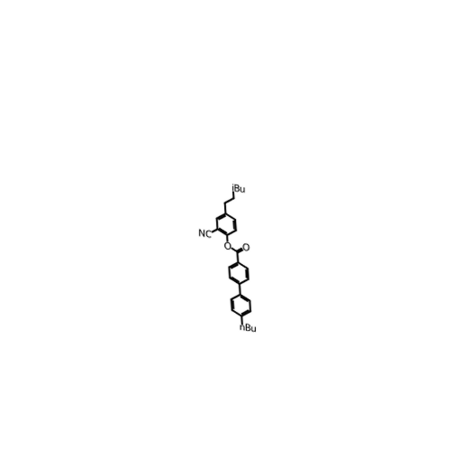 CCCCc1ccc(-c2ccc(C(=O)Oc3ccc(CCC(C)CC)cc3C#N)cc2)cc1